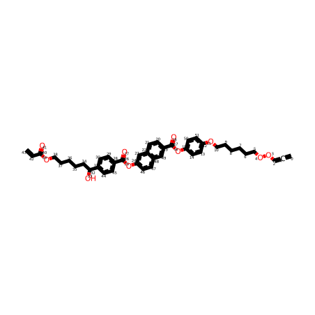 C=C=COOCCCCCCOc1ccc(OC(=O)c2ccc3cc(OC(=O)c4ccc(C(O)CCCCCOC(=O)C=C)cc4)ccc3c2)cc1